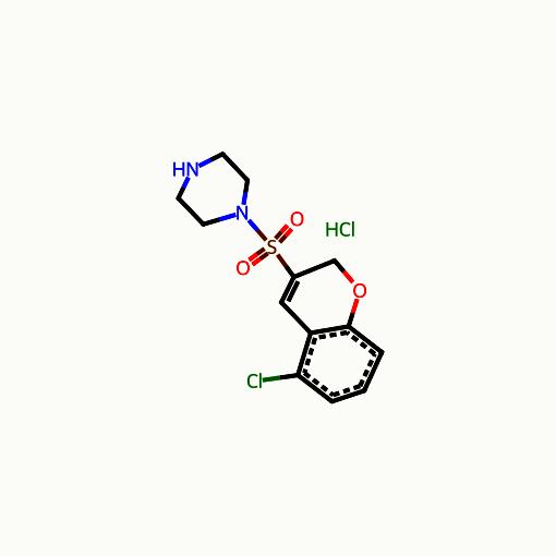 Cl.O=S(=O)(C1=Cc2c(Cl)cccc2OC1)N1CCNCC1